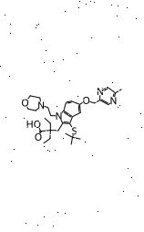 CCC(CC)(Cc1c(SC(C)(C)C)c2cc(OCc3cnc(C)cn3)ccc2n1CCN1CCOCC1)C(=O)O